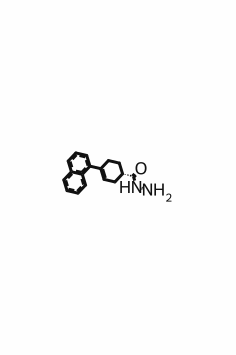 NNC(=O)[C@@H]1CC=C(c2cccc3ccccc23)CC1